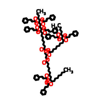 CCCCCCCCC(OC(=O)/C=C/c1ccccc1)C(CCCCCCCC(=O)OCC(COC(=O)CCCCCCCC(OC(=O)/C=C/c1ccccc1)C(CC(OC(=O)/C=C/c1ccccc1)C(CCCCC)OC(=O)/C=C/c1ccccc1)OC(=O)/C=C/c1ccccc1)OC(=O)CCCCCCCC(OC(=O)/C=C/c1ccccc1)C(CCCCCC)OC(=O)CCc1ccccc1)OC(=O)/C=C/c1ccccc1